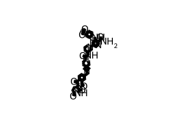 CS(=O)(=O)c1ccc(Nc2nc(N3CCCC(NC(=O)N4CCC5(CC4)CN(Cc4ccc6c(c4)C(=O)N(C4CCC(=O)NC4=O)C6=O)C5)C3)cnc2C(N)=O)cc1